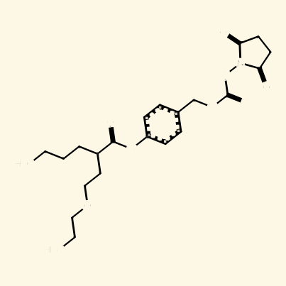 CCCCC(CCOCCC)C(=O)Oc1ccc(COC(=O)ON2C(=O)CCC2=O)cc1